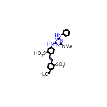 C=Cc1ccc(/C=C/c2ccc(Nc3nc(NC)nc(Nc4ccccc4)n3)cc2S(=O)(=O)O)c(S(=O)(=O)O)c1